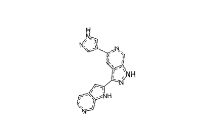 c1cc2cc(-c3n[nH]c4cnc(-c5cn[nH]c5)cc34)[nH]c2cn1